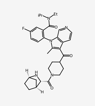 CCN(C(=O)c1cc(F)ccc1-n1c(C)c(C(=O)C2CCN(C(=O)[C@H]3N[C@@H]4CC[C@H]3C4)CC2)c2ccncc21)C(C)C